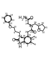 Cc1cc2[nH]c(=O)n(CCCOc3ccccc3)c2c(CC(=O)N(CC(N)=O)CC2CCCO2)c1C